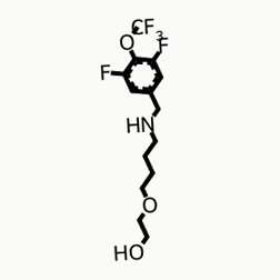 OCCOCCCCNCc1cc(F)c(OC(F)(F)F)c(F)c1